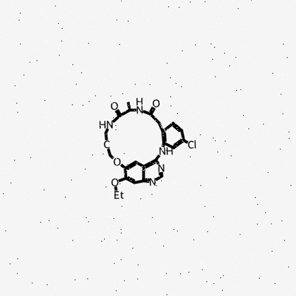 CCOc1cc2ncnc3c2cc1OCCCNC(=O)C(C)NC(=O)Cc1ccc(Cl)cc1N3